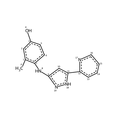 Cc1cc(O)ccc1Nc1cc(-c2ccccn2)[nH]n1